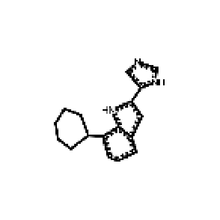 c1cc(C2CCCCC2)c2[nH]c(-c3cnc[nH]3)cc2c1